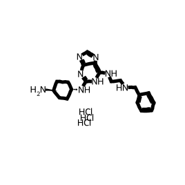 Cl.Cl.Cl.N[C@H]1CC[C@H](Nc2nc3ncnc-3c(NCCNCc3ccccc3)[nH]2)CC1